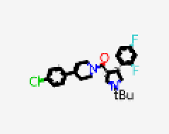 CC(C)(C)N1C[C@@H](C(=O)N2CC=C(c3[c]cc(Cl)cc3)CC2)[C@H](c2ccc(F)cc2F)C1